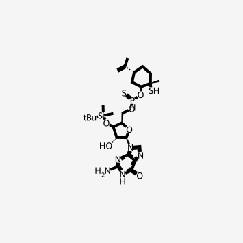 C=C(C)[C@@H]1CC[C@](C)(S)[C@@H](O[PH](=S)OC[C@H]2O[C@@H](n3cnc4c(=O)[nH]c(N)nc43)[C@H](O)C2O[Si](C)(C)C(C)(C)C)C1